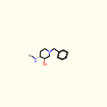 CCN[C@@H]1CCN(Cc2ccccc2)C[C@H]1O